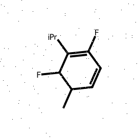 CC(C)C1=C(F)C=CC(C)C1F